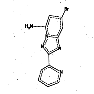 Nc1cc(Br)cc2nc(-c3ccccn3)nn12